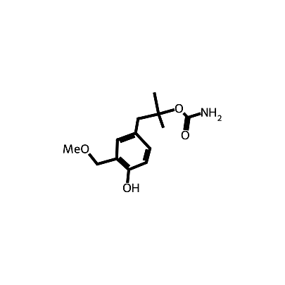 COCc1cc(CC(C)(C)OC(N)=O)ccc1O